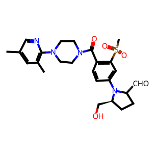 Cc1cnc(N2CCN(C(=O)c3ccc(N4C(C=O)CC[C@H]4CO)cc3S(C)(=O)=O)CC2)c(C)c1